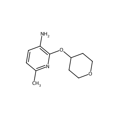 Cc1ccc(N)c(OC2CCOCC2)n1